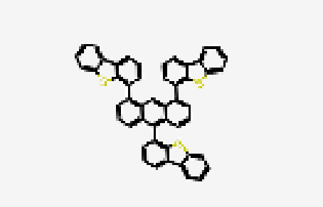 c1ccc2c(c1)sc1c(-c3cccc4c(-c5cccc6c5sc5ccccc56)c5cccc(-c6cccc7c6sc6ccccc67)c5cc34)cccc12